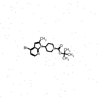 Cc1cc2c(Br)ccnc2n1C1CCN(C(=O)OC(C)(C)C)CC1